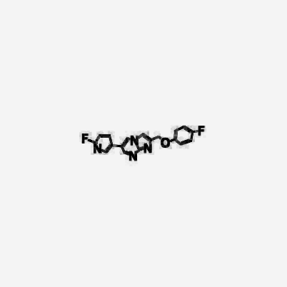 Fc1ccc(OCc2cn3cc(-c4ccc(F)nc4)cnc3n2)cc1